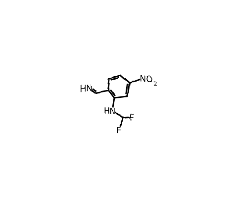 N=Cc1ccc([N+](=O)[O-])cc1NC(F)F